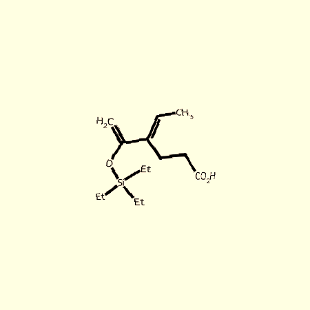 C=C(O[Si](CC)(CC)CC)C(=CC)CCC(=O)O